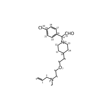 C=CCN(C)CCOCCC1CCN(C(C=O)c2ccc(Cl)cc2)CC1